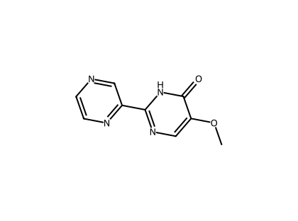 COc1cnc(-c2cnccn2)[nH]c1=O